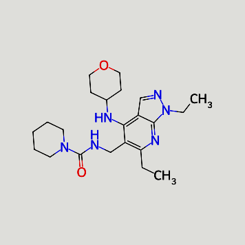 CCc1nc2c(cnn2CC)c(NC2CCOCC2)c1CNC(=O)N1CCCCC1